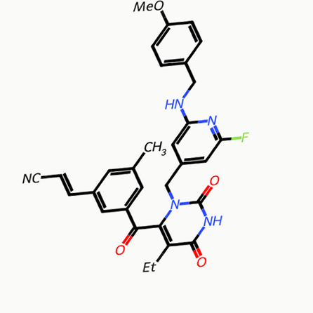 CCc1c(C(=O)c2cc(C)cc(C=CC#N)c2)n(Cc2cc(F)nc(NCc3ccc(OC)cc3)c2)c(=O)[nH]c1=O